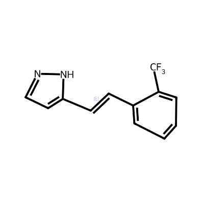 FC(F)(F)c1ccccc1/C=C/c1ccn[nH]1